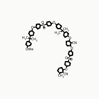 COc1ccc(C(C)(C)c2ccc(Oc3ccc(S(=O)(=O)c4ccc(Oc5ccc(C(C)(C)c6ccc(Oc7cccc(Oc8ccc(S(=O)(=O)c9ccc(Oc%10cccc(C)c%10C#N)cc9)cc8)c7C#N)cc6)cc5)cc4)cc3)cc2)cc1